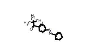 CC(C)(C)C(=O)c1ccc(/N=N/c2ccccc2)cc1